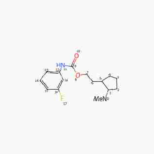 CNC1CCCC1CCOC(=O)Nc1cccc(F)c1